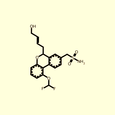 NS(=O)(=O)Cc1ccc2c(c1)C(CC=CCO)Oc1cccc(OC(F)F)c1-2